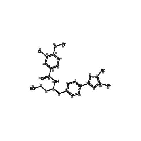 CC(=O)c1nc(-c2ccc(C[C@@H](CCO)NC(=O)c3ccc(OC(C)C)c(Cl)c3)cc2)cn1C(C)C